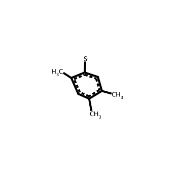 Cc1cc(C)c([S])cc1C